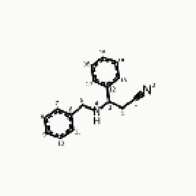 N#CCC(NCc1ccccc1)c1ccccc1